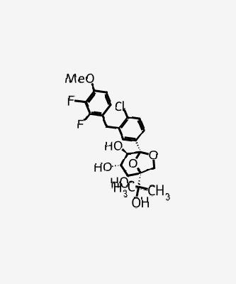 COc1ccc(Cc2cc([C@]34OC[C@](C(C)(C)O)(O3)[C@@H](O)[C@H](O)[C@H]4O)ccc2Cl)c(F)c1F